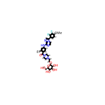 CCc1cc(Nc2nccn3c(-c4ccc(OC)c(F)c4F)cnc23)ccc1C(=O)N1CCN(CCO[C@@H]2O[C@H](CO)[C@H](O)[C@H](O)[C@H]2O)CC1